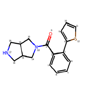 O=C(c1ccccc1-c1cccs1)N1CC2CNCC2C1